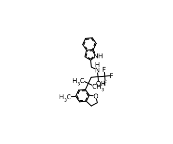 Cc1cc2c(c(C(C)(C)CC(O)(NCc3cc4ccccc4[nH]3)C(F)(F)F)c1)OCC2